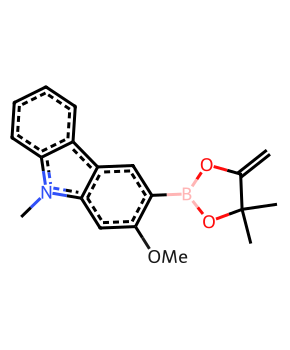 C=C1OB(c2cc3c4ccccc4n(C)c3cc2OC)OC1(C)C